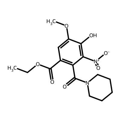 CCOC(=O)c1cc(OC)c(O)c([N+](=O)[O-])c1C(=O)N1CCCCC1